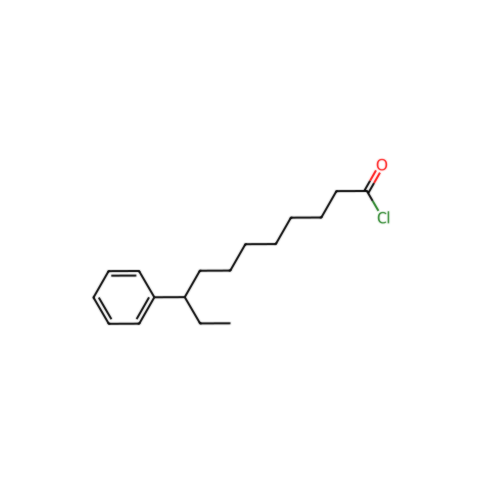 CCC(CCCCCCCC(=O)Cl)c1ccccc1